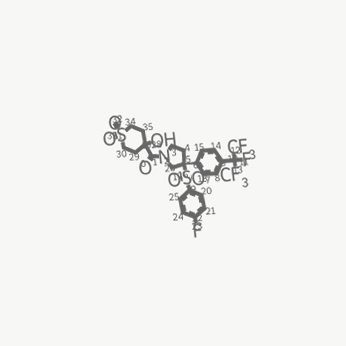 O=C(N1CC[C@](c2ccc(C(F)(C(F)(F)F)C(F)(F)F)cc2)(S(=O)(=O)c2ccc(F)cc2)C1)C1(O)CCS(=O)(=O)CC1